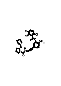 CC(Oc1cc(C#CCNC(=O)N2CCC[C@H]2CN2CCCC2)cnc1N)c1c(Cl)ccc(F)c1Cl